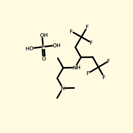 CC(CN(C)C)NC(CC(F)(F)F)CC(F)(F)F.O=P(O)(O)O